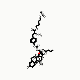 CCCC1O[C@@H]2C[C@H]3[C@@H]4CCC5=CC(=O)C=C[C@]5(C)[C@H]4[C@@H](O)C[C@]3(C)C2(C(=O)COC(=O)Oc2ccc(CC(N)C(=O)OCCCCO[N+](=O)[O-])cc2)O1